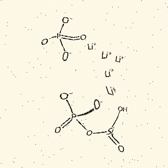 O=P([O-])([O-])[O-].O=[Si](O)OP(=O)([O-])[O-].[Li+].[Li+].[Li+].[Li+].[Li+]